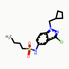 CCCCS(=O)(=O)Nc1ccc2c(c1)c(Cl)nn2CC1CCC1